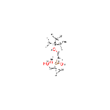 CC(C)[Si](OCC(C)(C)S(=O)(=O)C1(CO)CC1)(C(C)C)C(C)C